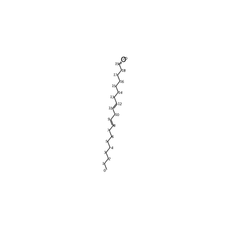 CCCCCCCCC=CCC=CCCCCCCC=O